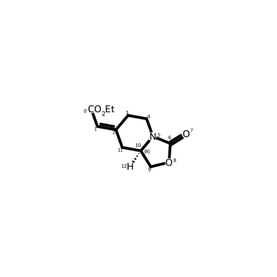 CCOC(=O)C=C1CCN2C(=O)OC[C@H]2C1